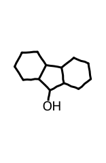 OC1C2CCCCC2C2CCCCC12